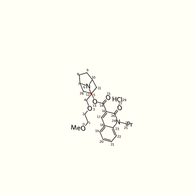 COCCOCCN1C2CCC1CC(OC(=O)c1cc3ccccc3n(C(C)C)c1=O)C2.Cl